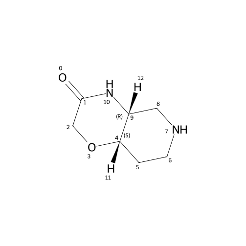 O=C1CO[C@H]2CCNC[C@H]2N1